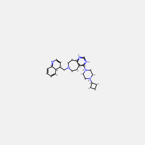 C1=CC2=NC=CC(CN3CCc4ncnc(N5CCN(C6CCC6)CC5)c4CC3)C2C=C1